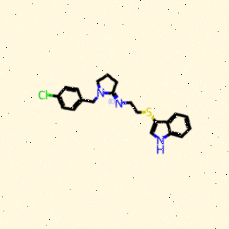 Clc1ccc(CN2CCC/C2=N\CCSc2c[nH]c3ccccc23)cc1